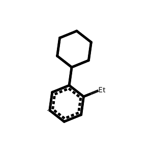 CCc1cc[c]cc1C1CCCCC1